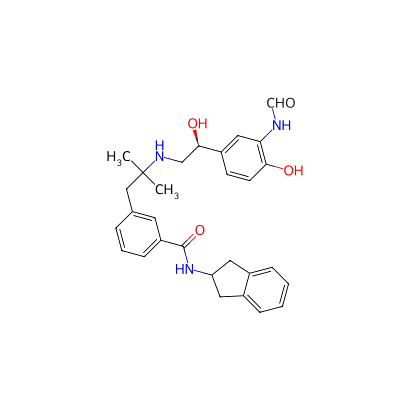 CC(C)(Cc1cccc(C(=O)NC2Cc3ccccc3C2)c1)NC[C@@H](O)c1ccc(O)c(NC=O)c1